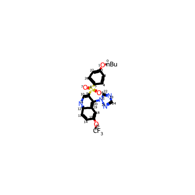 CCCCOc1ccc(S(=O)(=O)c2cnc3ccc(OC(F)(F)F)cc3c2-n2cncn2)cc1